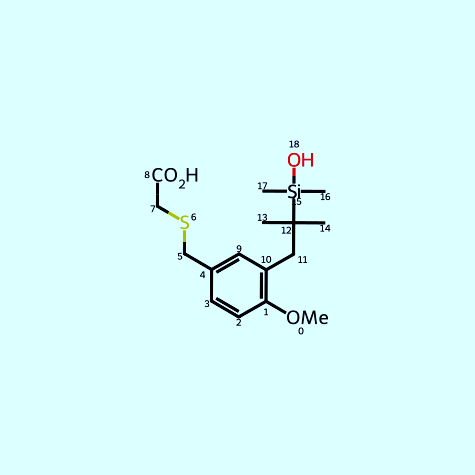 COc1ccc(CSCC(=O)O)cc1CC(C)(C)[Si](C)(C)O